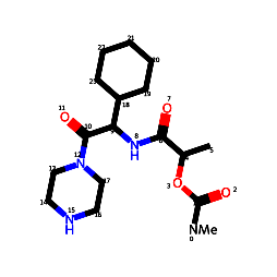 CNC(=O)OC(C)C(=O)NC(C(=O)N1CCNCC1)C1CCCCC1